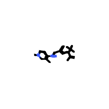 C=C(/C=C(/C(=C)C)C(C)(C)C)CNC1=C(C)CN(C)CC1